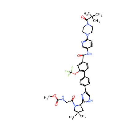 COC(=O)NCC(=O)N1CC(C)(C)CC1c1nc(-c2ccc(-c3ccc(C(=O)Nc4ccc(N5CCN(C(=O)C(C)(C)C)CC5)nc4)cc3OC(F)(F)F)cc2)c[nH]1